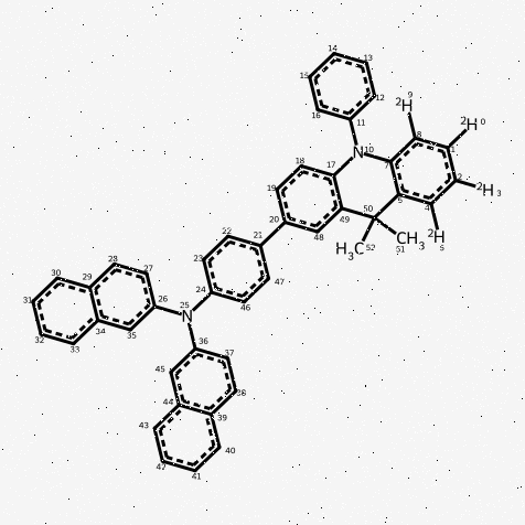 [2H]c1c([2H])c([2H])c2c(c1[2H])N(c1ccccc1)c1ccc(-c3ccc(N(c4ccc5ccccc5c4)c4ccc5ccccc5c4)cc3)cc1C2(C)C